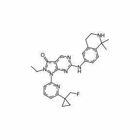 CCn1c(=O)c2cnc(Nc3ccc4c(c3)CCNC4(C)C)nc2n1-c1cccc(C2(CF)CC2)n1